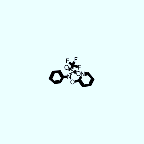 O=S(=O)(N(Oc1ccccn1)c1ccccc1)C(F)(F)F